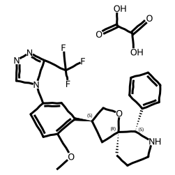 COc1ccc(-n2cnnc2C(F)(F)F)cc1[C@H]1CO[C@]2(CCCN[C@H]2c2ccccc2)C1.O=C(O)C(=O)O